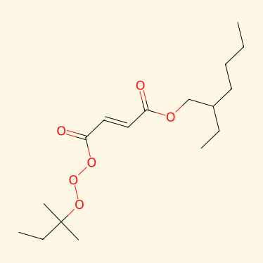 CCCCC(CC)COC(=O)C=CC(=O)OOOC(C)(C)CC